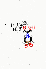 CC(C)(C)[Si](C)(C)OC[C@@H](CO)N1CCS(=O)(=O)CC1